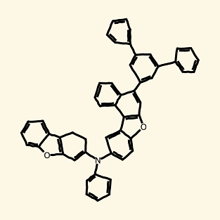 C1=C(N(c2ccccc2)c2ccc3oc4cc(-c5cc(-c6ccccc6)cc(-c6ccccc6)c5)c5ccccc5c4c3c2)CCc2c1oc1ccccc21